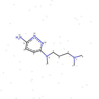 CN(C)CCCN(C)c1ccc(N)nn1